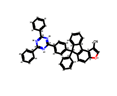 N#Cc1coc2ccc3c(c12)-c1ccccc1C3(c1ccccc1)c1ccc(-c2nc(-c3ccccc3)nc(-c3ccccc3)n2)cc1